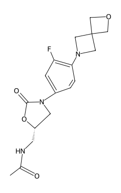 CC(=O)NC[C@H]1CN(c2ccc(N3CC4(COC4)C3)c(F)c2)C(=O)O1